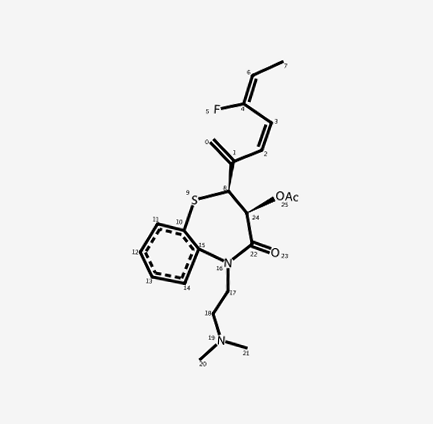 C=C(/C=C\C(F)=C/C)[C@@H]1Sc2ccccc2N(CCN(C)C)C(=O)[C@@H]1OC(C)=O